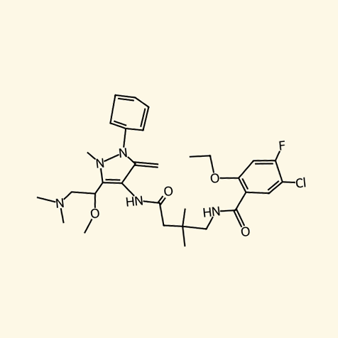 C=C1C(NC(=O)CC(C)(C)CNC(=O)c2cc(Cl)c(F)cc2OCC)=C(C(CN(C)C)OC)N(C)N1c1ccccc1